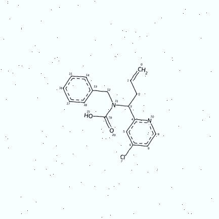 C=CCC(c1cc(Cl)ccn1)N(Cc1ccccc1)C(=O)O